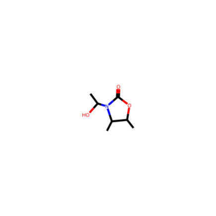 CC1OC(=O)N(C(C)O)C1C